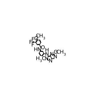 COc1ncc2ncnc(Nc3cc(NC(=O)c4ccc(OC)c(C(F)(F)F)c4)ccc3C)c2n1